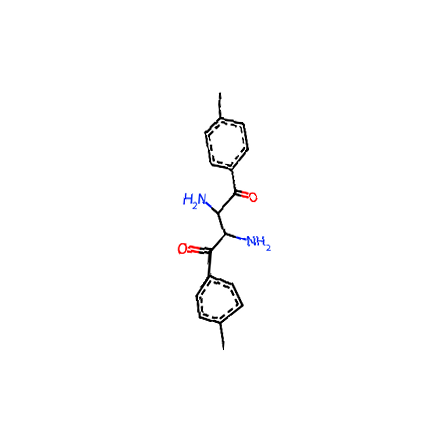 Cc1ccc(C(=O)C(N)C(N)C(=O)c2ccc(C)cc2)cc1